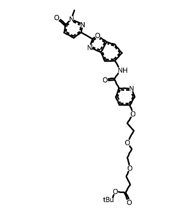 Cn1nc(-c2nc3cc(NC(=O)c4ccc(OCCOCCOCCC(=O)OC(C)(C)C)cn4)ccc3o2)ccc1=O